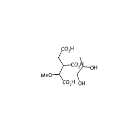 CC(O)CO.COC(C(=O)O)C(CC(=O)O)C(=O)O